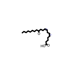 CCCCCCCCC(=O)CC/C=C\C/C=C\CCCC(=O)O